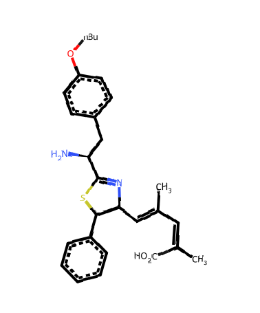 CCCCOc1ccc(C[C@H](N)C2=NC(/C=C(C)/C=C(/C)C(=O)O)C(c3ccccc3)S2)cc1